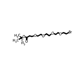 CC(C)(C)OC(=O)CCOCCOCCOCCOCCBr